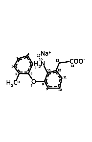 Cc1ccccc1Oc1cccc(CC(=O)[O-])c1N.[Na+]